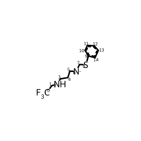 FC(F)(F)CNCCC[N]CSc1ccccc1